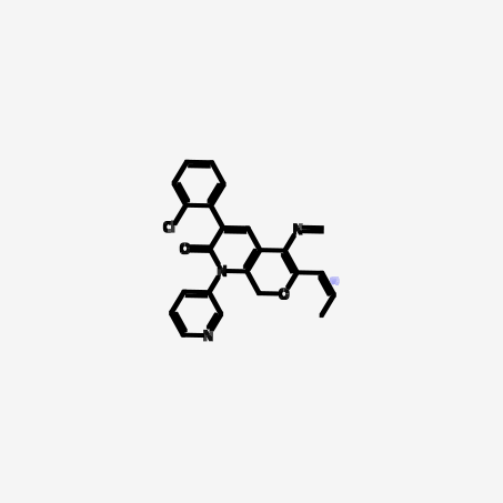 C=NC1=C(/C=C\C)OCc2c1cc(-c1ccccc1Cl)c(=O)n2-c1cccnc1